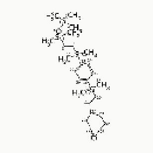 C[Si](C)(C)O[Si](C)(C)CC[Si](C)(C)c1ccc([Si](C)(C)CCC2CCC3OC3C2)cc1